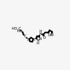 O=C(O)NCCCC[C@@H]1CC[C@H](c2cc(NC(=O)Cc3ccno3)n[nH]2)C1